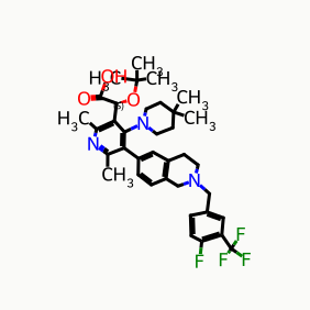 Cc1nc(C)c([C@H](OC(C)(C)C)C(=O)O)c(N2CCC(C)(C)CC2)c1-c1ccc2c(c1)CCN(Cc1ccc(F)c(C(F)(F)F)c1)C2